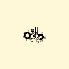 Cc1ccccc1S(=O)(=O)Nc1cccs1